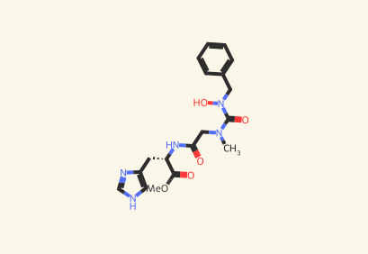 COC(=O)[C@H](Cc1c[nH]cn1)NC(=O)CN(C)C(=O)N(O)Cc1ccccc1